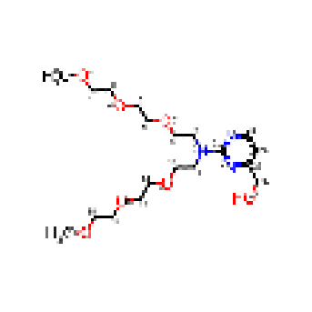 COCCOCCOCCN(CCOCCOCCOC)c1nccc(CO)n1